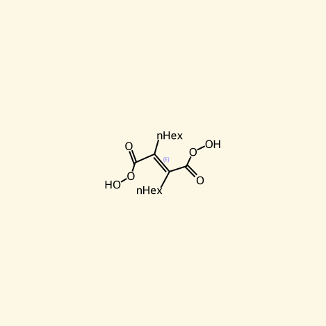 CCCCCC/C(C(=O)OO)=C(/CCCCCC)C(=O)OO